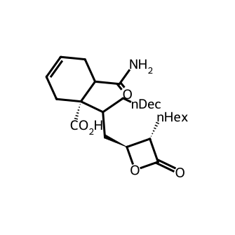 CCCCCCCCCCCC(C[C@@H]1OC(=O)[C@H]1CCCCCC)[C@@]1(C(=O)O)CC=CCC1C(N)=O